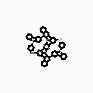 CC(C)(C)c1cc2c3cc4ccccc4c(-c4ccc5c(c4)c4ccccc4n5-c4ccccc4)c3n3c4nc5c6cc(C(C)(C)C)cc7c8c9ccccc9cc(-c9ccc%10c(c9)c9ccccc9n%10-c9ccccc9)c8n(c5nc4c(c1)c23)c67